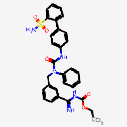 N=C(NC(=O)OCC(Cl)(Cl)Cl)c1cccc(CN(C(=O)Nc2ccc(-c3ccccc3S(N)(=O)=O)cc2)c2ccccc2)c1